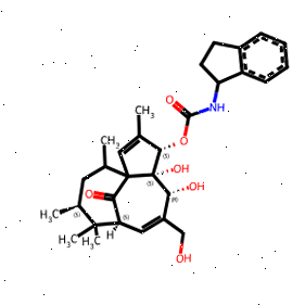 CC1=CC23C(=O)[C@@H](C=C(CO)[C@@H](O)[C@]2(O)[C@H]1OC(=O)NC1CCc2ccccc21)C(C)(C)[C@@H](C)CC3C